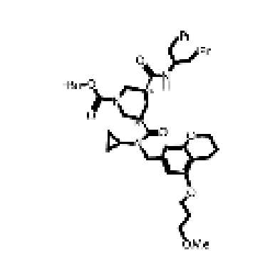 COCCCOc1cc(CN(C(=O)[C@@H]2C[C@H](C(=O)NC(CC(C)C)CC(C)C)CN(C(=O)OC(C)(C)C)C2)C2CC2)cc2c1CCCO2